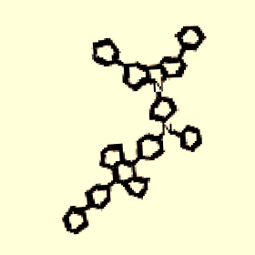 c1ccc(-c2ccc(-c3c4ccccc4c(-c4ccc(N(c5ccccc5)c5ccc(-n6c7ccc(-c8ccccc8)cc7c7cc(-c8ccccc8)ccc76)cc5)cc4)c4ccccc34)cc2)cc1